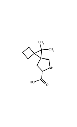 CC1(C)C2(CCC2)[C@]12CN[C@H](C(=O)O)C2